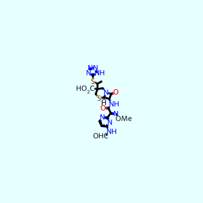 CON=C(C(=O)NC1C(=O)N2CC(C(=O)O)(C(C)Sc3nnn[nH]3)CS[C@H]12)c1nccc(NC=O)n1